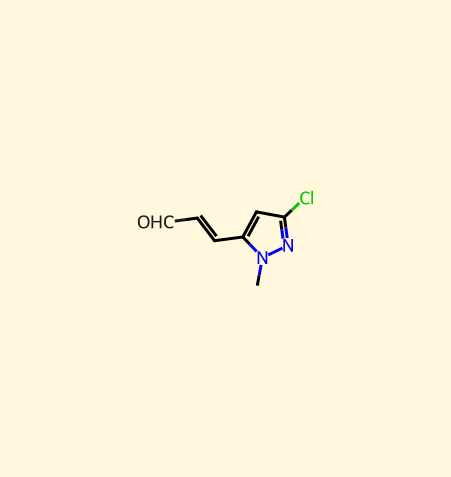 Cn1nc(Cl)cc1/C=C/C=O